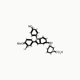 COc1ccc(-c2cc3cc(N[C@H]4CCCN(C(=O)O)C4)ccc3n2-c2ccc(C#N)cc2)cc1F